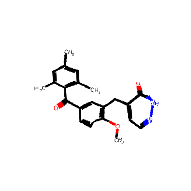 COc1ccc(C(=O)c2c(C)cc(C)cc2C)cc1Cc1ccn[nH]c1=O